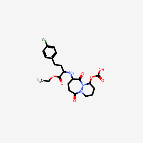 CCOC(=O)C(CCc1ccc(Cl)cc1)NC1CCC(=O)N2CCCC(OC(=O)O)N2C1=O